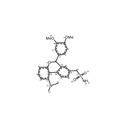 COc1ccc(C2Oc3cccc(N(C)C)c3-c3ccc(CS(N)(=O)=O)cc32)cc1OC